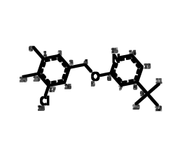 Cc1cc(COc2cc(C(C)(C)C)ccn2)cc(Cl)c1C